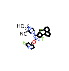 C#Cc1cccc2cccc(-c3c(F)cc4c(N5CCN(C(=O)O)[C@@H](CC#N)C5)nc(OC[C@@]56CCCN5C[C@H](F)C6)nc4c3F)c12